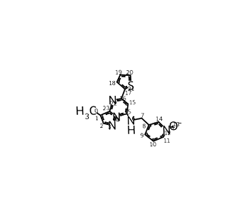 Cc1cnn2c(NCc3ccc[n+]([O-])c3)cc(-c3cccs3)nc12